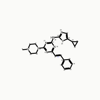 CN1CCN(c2nc(/C=C/c3ccccc3)nc(Nc3ncc(C4CC4)s3)n2)CC1